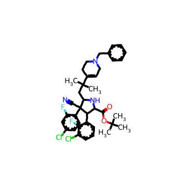 CC(C)(C)OC(=O)C1NC(CC(C)(C)C2=CCN(Cc3ccccc3)CC2)C(C#N)(c2ccc(Cl)cc2F)C1c1cccc(Cl)c1F